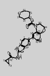 O=C(Nc1nc2ccc(-c3cnc4c(c3)N(C(=O)OC3CCOCC3)CCO4)nc2s1)C1CC1